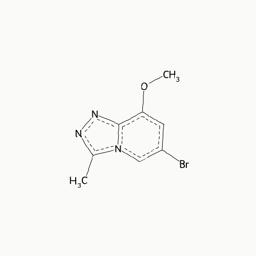 COc1cc(Br)cn2c(C)nnc12